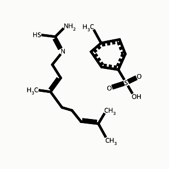 CC(C)=CCCC(C)=CCN=C(N)S.Cc1ccc(S(=O)(=O)O)cc1